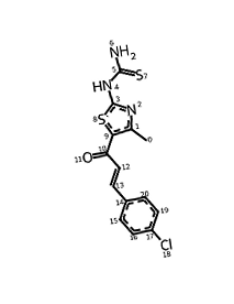 Cc1nc(NC(N)=S)sc1C(=O)C=Cc1ccc(Cl)cc1